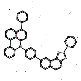 c1ccc(-c2ccc(N(c3ccc(-c4ccc5ccc6nc(-c7ccccc7)oc6c5c4)cc3)c3ccccc3-c3ccccc3)cc2)cc1